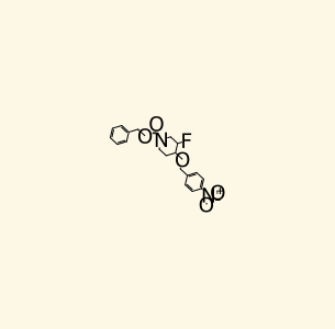 O=C(OCc1ccccc1)N1CCC(OCc2ccc([N+](=O)[O-])cc2)C(F)C1